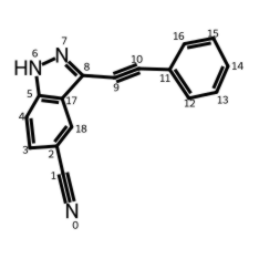 N#Cc1ccc2[nH]nc(C#Cc3ccccc3)c2c1